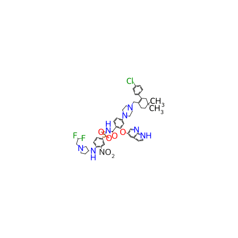 CC1(C)CCC(CN2CCN(c3ccc(C(=O)NS(=O)(=O)c4ccc(N[C@@H]5CCN(CC(F)F)C5)c([N+](=O)[O-])c4)c(Oc4cnc5[nH]ccc5c4)c3)CC2)=C(c2ccc(Cl)cc2)C1